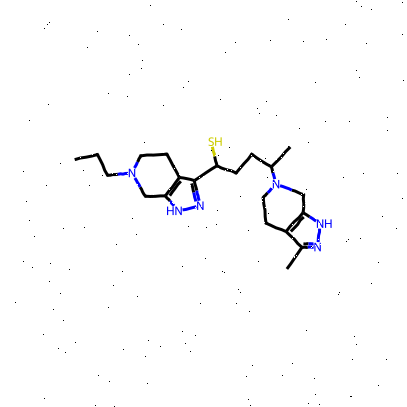 CCCN1CCc2c(C(S)CCC(C)N3CCc4c(C)n[nH]c4C3)n[nH]c2C1